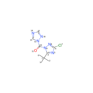 CC(C)(C)c1nc(Cl)nn1C(=O)n1cncn1